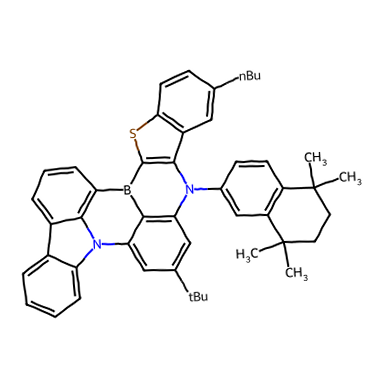 CCCCc1ccc2sc3c(c2c1)N(c1ccc2c(c1)C(C)(C)CCC2(C)C)c1cc(C(C)(C)C)cc2c1B3c1cccc3c4ccccc4n-2c13